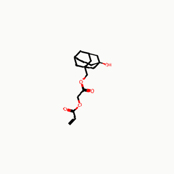 C=CC(=O)OCC(=O)OCC12CC3CC(CC(O)(C3)C1)C2